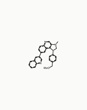 COCc1ccc(N2CN(C)c3cnc4ccc(-c5cnc6ccccc6c5)cc4c32)cc1